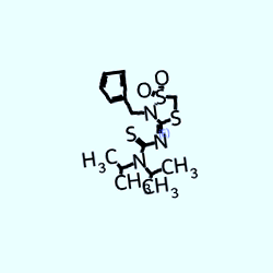 CC(C)N(C(=S)/N=C1/SCS(=O)(=O)N1Cc1ccccc1)C(C)C